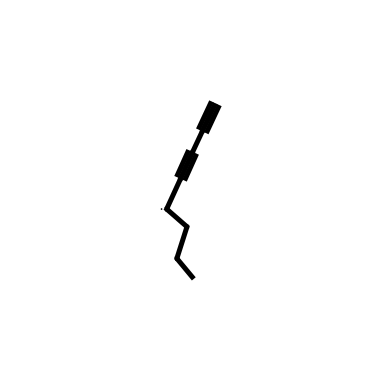 C#CC#C[CH]CCC